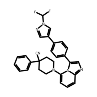 N#CC1(c2ccccc2)CCN(c2cccc3ncc(-c4ccc(-c5cnn(C(F)F)c5)cc4)n23)CC1